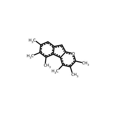 Cc1cc2cc3oc(C)c(C)c(C)c-3c2c(C)c1C